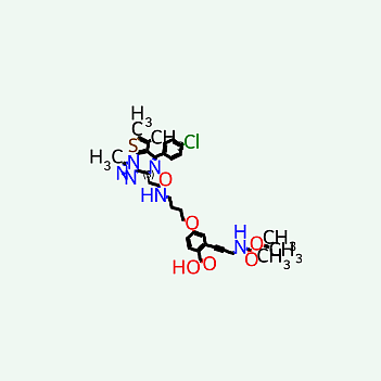 Cc1sc2c(c1C)C(c1ccc(Cl)cc1)=N[C@@H](CC(=O)NCCCCOc1ccc(C(=O)O)c(C#CCNC(=O)OC(C)(C)C)c1)c1nnc(C)n1-2